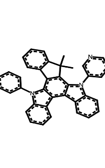 CC1(C)c2ccccc2-c2c1c1c(c3ccccc3n1-c1cccnc1)c1c3ccccc3n(-c3ccccc3)c21